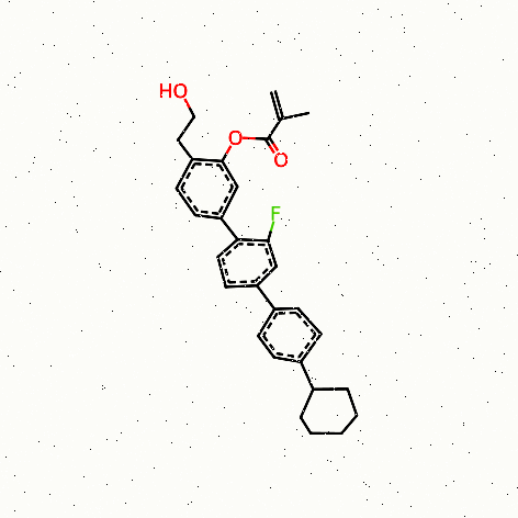 C=C(C)C(=O)Oc1cc(-c2ccc(-c3ccc(C4CCCCC4)cc3)cc2F)ccc1CCO